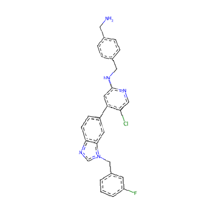 NCc1ccc(CNc2cc(-c3ccc4ncn(Cc5cccc(F)c5)c4c3)c(Cl)cn2)cc1